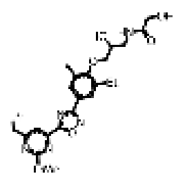 CCc1cc(-c2noc(-c3cc(CC(C)C)nc(OC)n3)n2)cc(C)c1OCC(O)CNC(=O)CO